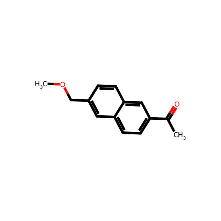 COCc1ccc2cc(C(C)=O)ccc2c1